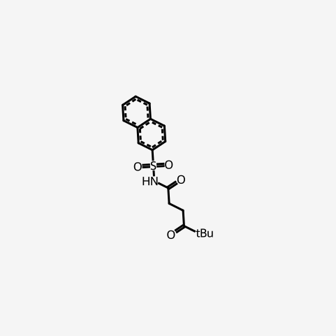 CC(C)(C)C(=O)CCC(=O)NS(=O)(=O)c1ccc2ccccc2c1